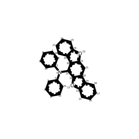 c1ccc(N(c2ccccc2)c2c3oc4ccccc4c3cc3oc4ccccc4c23)cc1